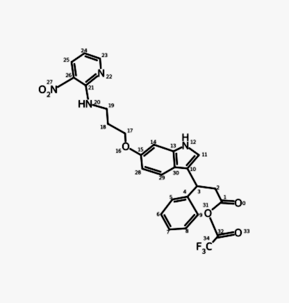 O=C(CC(c1ccccc1)c1c[nH]c2cc(OCCCNc3ncccc3[N+](=O)[O-])ccc12)OC(=O)C(F)(F)F